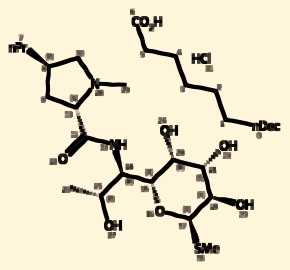 CCCCCCCCCCCCCCCC(=O)O.CCC[C@@H]1C[C@@H](C(=O)N[C@@H]([C@H]2O[C@H](SC)[C@H](O)[C@@H](O)[C@H]2O)[C@@H](C)O)N(C)C1.Cl